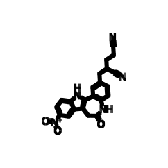 N#CCCC(C#N)Cc1ccc2c(c1)-c1[nH]c3ccc([N+](=O)[O-])cc3c1CC(=O)N2